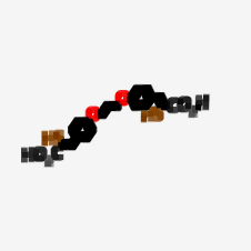 O=C(O)C(S)=Cc1ccc(OCCCOc2ccc(C=C(S)C(=O)O)cc2)cc1